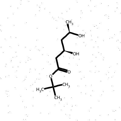 C[C@@H](O)C[C@@H](O)CC(=O)OC(C)(C)C